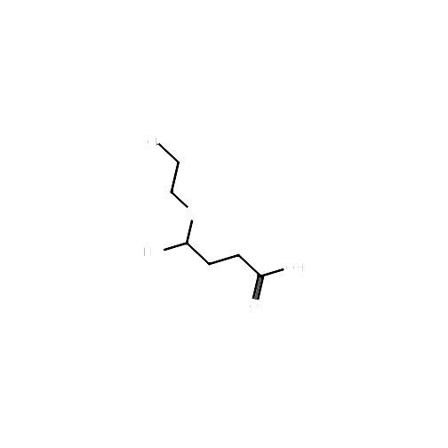 O=C(O)CCC(O)OCCCl